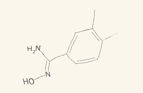 Cc1ccc(C(N)=NO)cc1C